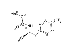 C#C[C@H](Cc1ccc(C(F)(F)F)cc1)NC(=O)OC(C)(C)C